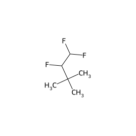 CC(C)(C)C(F)C(F)F